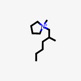 CCCCC(C)C[N+]1(C)CCCC1